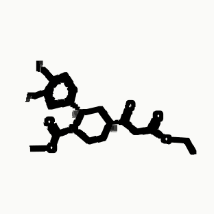 CCOC(=O)CC(=O)[C@@H]1CCN(C(=O)OC)[C@H](c2ccc(F)c(F)c2)C1